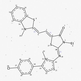 CCN1C(=O)/C(=C/C=C2\Sc3ccccc3N2C)S/C1=N\c1scc(-c2ccc(Cl)cc2)[n+]1C